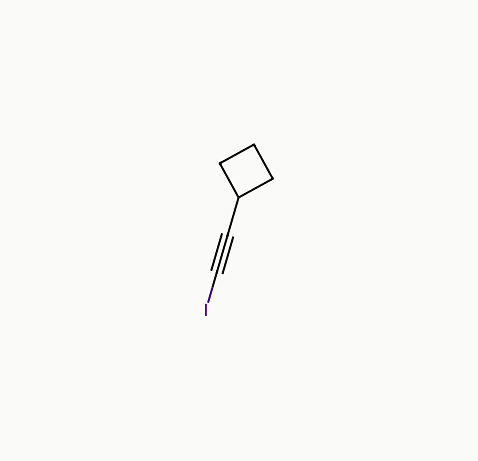 IC#CC1CCC1